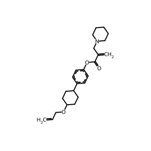 C=CCOC1CCC(c2ccc(OC(=O)C(=C)CN3CCCCC3)cc2)CC1